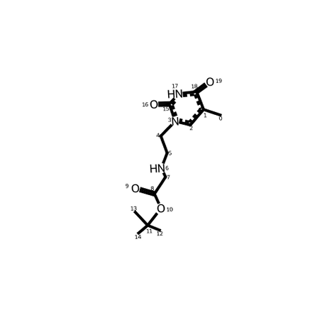 Cc1cn(CCNCC(=O)OC(C)(C)C)c(=O)[nH]c1=O